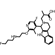 Cc1c(OCCNCCCF)ncc(F)c1C1c2[nH]c3ccccc3c2CCN1CC(C)C(=O)O